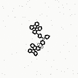 c1ccc(N(c2ccc(-c3cccc4c3-c3ccccc3C43c4ccccc4-c4ccccc43)cc2)c2ccc3c(c2)Oc2c(ccc4c2-c2ccccc2C42c4ccccc4-c4ccccc42)O3)cc1